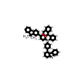 CC1(C)c2ccccc2-c2ccc(-c3ccc(N(c4ccc(-c5cccc6sc7ccccc7c56)cc4)c4ccccc4-c4cccc5ccccc45)cc3)cc21